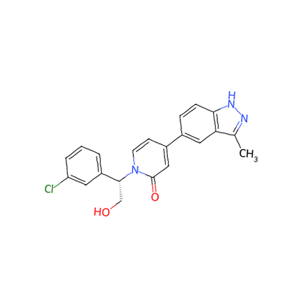 Cc1n[nH]c2ccc(-c3ccn([C@H](CO)c4cccc(Cl)c4)c(=O)c3)cc12